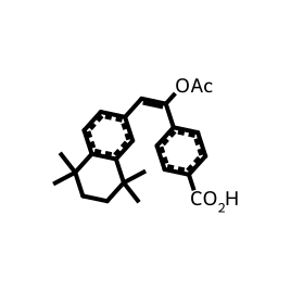 CC(=O)OC(=Cc1ccc2c(c1)C(C)(C)CCC2(C)C)c1ccc(C(=O)O)cc1